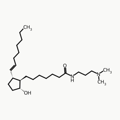 CCCCCCC=C[C@H]1CC[C@@H](O)[C@@H]1CCCCCCC(=O)NCCCN(C)C